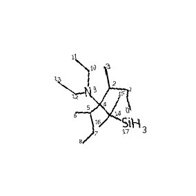 CCC(C)C(C(C)CC)(N(CC)CC)C(C)(C)[SiH3]